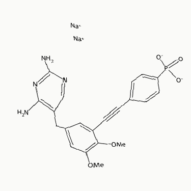 COc1cc(Cc2cnc(N)nc2N)cc(C#Cc2ccc(P(=O)([O-])[O-])cc2)c1OC.[Na+].[Na+]